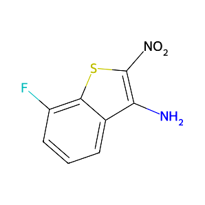 Nc1c([N+](=O)[O-])sc2c(F)cccc12